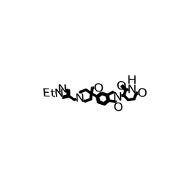 CCn1cc(CN2CCC3(CC2)COc2c3ccc3c2CN(C2CCC(=O)NC2=O)C3=O)cn1